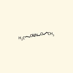 CCCOCNCOCCC